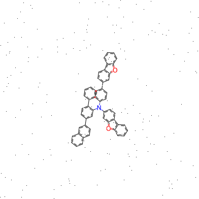 c1ccc(-c2ccc(-c3ccc4ccccc4c3)cc2N(c2ccc(-c3ccc4c(c3)oc3ccccc34)cc2)c2ccc3c(c2)oc2ccccc23)cc1